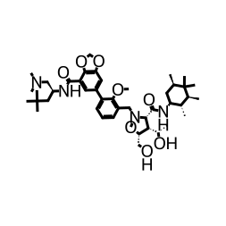 COc1c(CN2O[C@@H](CO)[C@@H]([C@H](C)O)[C@H]2C(=O)N[C@H]2C[C@@H](C)C(C)(C)[C@@H](C)[C@@H]2C)cccc1-c1cc2c(c(C(=O)N[C@H](CN(C)C)CC(C)(C)C)c1)OCO2